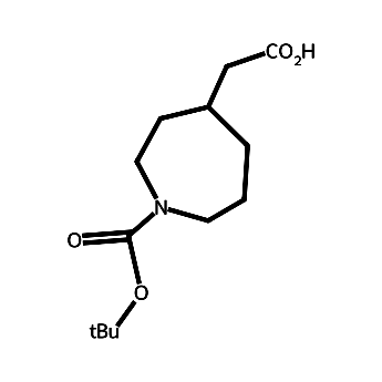 CC(C)(C)OC(=O)N1CCCC(CC(=O)O)CC1